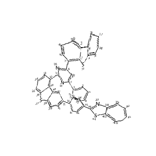 c1ccc(-c2nc(-c3cccc4c3sc3ccccc34)nc(-c3cccc4sc5ccc(-c6ccc(-c7nc8ccccc8s7)cc6)cc5c34)n2)cc1